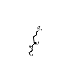 CCNCCCC(=O)NCCS